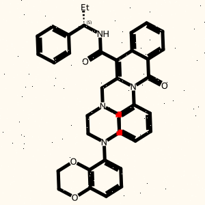 CC[C@H](NC(=O)c1c(CN2CCN(c3cccc4c3OCCO4)CC2)n(-c2ccccc2)c(=O)c2ccccc12)c1ccccc1